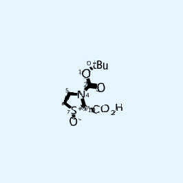 CC(C)(C)OC(=O)N1CC[S+]([O-])[C@H]1C(=O)O